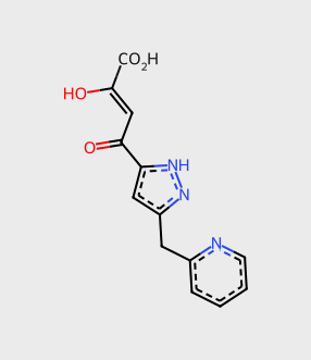 O=C(O)C(O)=CC(=O)c1cc(Cc2ccccn2)n[nH]1